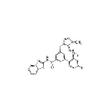 Cc1cc(F)ccc1-c1cc(Cn2ccn(C)c2=N)cc(C(=O)Nc2nc3ccccc3s2)c1